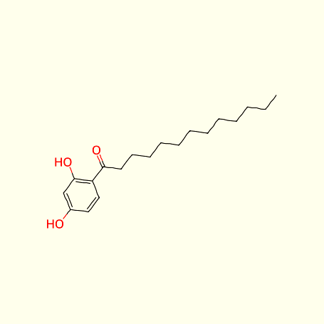 CCCCCCCCCCCCC(=O)c1ccc(O)cc1O